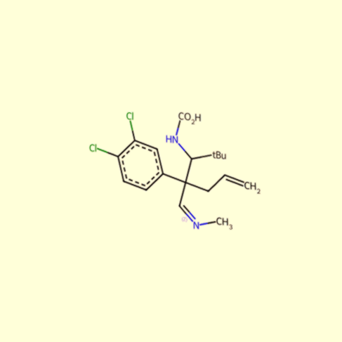 C=CCC(/C=N\C)(c1ccc(Cl)c(Cl)c1)C(NC(=O)O)C(C)(C)C